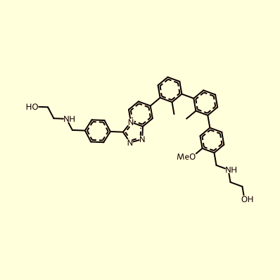 COc1cc(-c2cccc(-c3cccc(-c4ccn5c(-c6ccc(CNCCO)cc6)nnc5c4)c3C)c2C)ccc1CNCCO